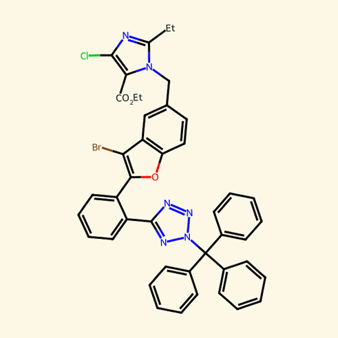 CCOC(=O)c1c(Cl)nc(CC)n1Cc1ccc2oc(-c3ccccc3-c3nnn(C(c4ccccc4)(c4ccccc4)c4ccccc4)n3)c(Br)c2c1